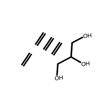 C=C.C=C.C=C.C=C.OCC(O)CO